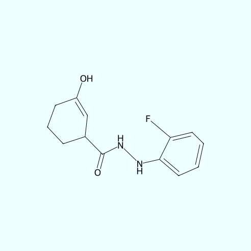 O=C(NNc1ccccc1F)C1C=C(O)CCC1